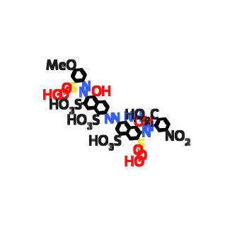 COc1ccc(N=Nc2c(S(=O)(=O)O)cc3c(S(=O)(=O)O)c(N=Nc4cc(S(=O)(=O)O)c5cc(SOOO)c(N=Nc6cc([N+](=O)[O-])ccc6C(=O)O)c(O)c5c4N)ccc3c2O)c(SOOO)c1